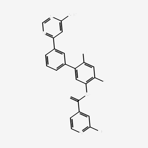 CC(=O)Nc1cc(-c2cccc(-c3cc(NC(=O)c4ccnc(C(F)(F)F)c4)c(F)cc3C)c2)ncn1